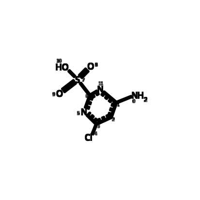 Nc1cc(Cl)nc(S(=O)(=O)O)n1